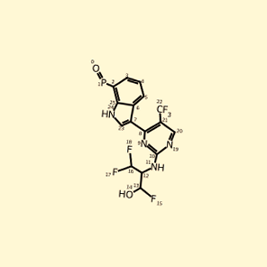 O=Pc1cccc2c(-c3nc(NC(C(O)F)C(F)F)ncc3C(F)(F)F)c[nH]c12